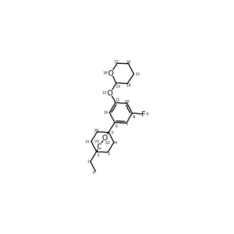 CCC12CCC(c3cc(F)cc(OC4CCCCO4)c3)(CC1)OC2